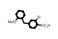 COc1ccccc1Cc1ccc(C(=O)O)c(Br)c1